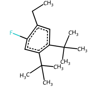 CCc1cc(C(C)(C)C)c(C(C)(C)C)cc1F